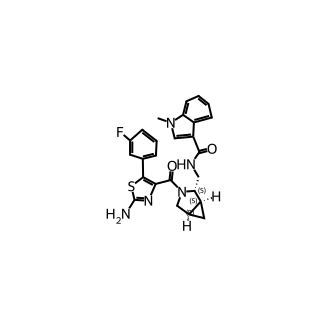 Cn1cc(C(=O)NC[C@@H]2[C@H]3C[C@H]3CN2C(=O)c2nc(N)sc2-c2cccc(F)c2)c2ccccc21